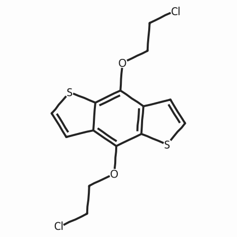 ClCCOc1c2ccsc2c(OCCCl)c2ccsc12